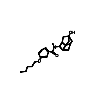 CCCCCOc1cccc(C(=O)N(C)C2C3CC4CC2CC(O)(C4)C3)c1